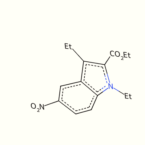 CCOC(=O)c1c(CC)c2cc([N+](=O)[O-])ccc2n1CC